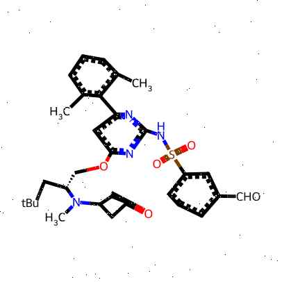 Cc1cccc(C)c1-c1cc(OC[C@@H](CC(C)(C)C)N(C)C2CC(=O)C2)nc(NS(=O)(=O)c2cccc(C=O)c2)n1